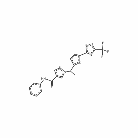 CC(c1ccc(-c2noc(C(F)(F)F)n2)s1)n1cc(C(=O)Nc2ccccc2)cn1